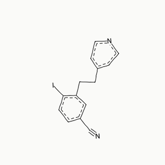 N#Cc1ccc(I)c(CCc2ccncc2)c1